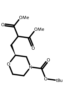 COC(=O)C(C[C@H]1CN(C(=O)OC(C)(C)C)CCO1)C(=O)OC